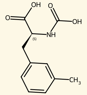 Cc1cccc(C[C@H](NC(=O)O)C(=O)O)c1